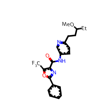 CCC(CCc1ccc(NC(=O)c2nc(-c3ccccc3)oc2C(F)(F)F)cn1)OC